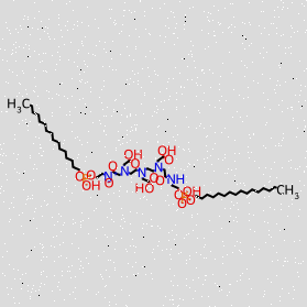 CCCCCCCCCCCCCCCCOP(O)OCC[N+](=O)C(=O)CN(CCN(CCN(CC(=O)O)CC(=O)NCCOP(=O)(O)OCCCCCCCCCCCCCCCC)CC(=O)O)CC(=O)O